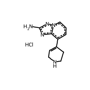 Cl.Nc1nc2c(C3=CCNCC3)cccn2n1